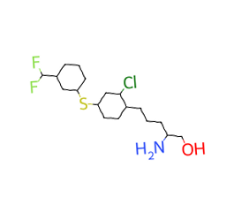 NC(CO)CCCC1CCC(SC2CCCC(C(F)F)C2)CC1Cl